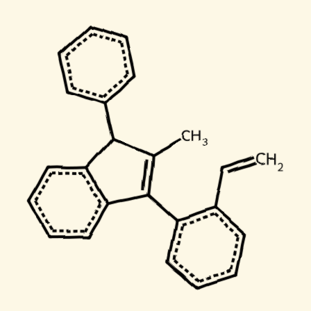 C=Cc1ccccc1C1=C(C)C(c2ccccc2)c2ccccc21